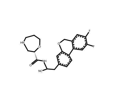 N#CC(Cc1ccc2c(c1)OCc1cc(F)c(F)cc1-2)NC(=O)[C@@H]1CNCCCO1